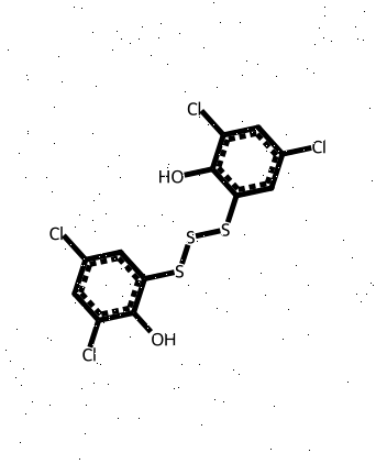 Oc1c(Cl)cc(Cl)cc1SSSc1cc(Cl)cc(Cl)c1O